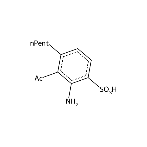 CCCCCc1ccc(S(=O)(=O)O)c(N)c1C(C)=O